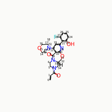 C=CC(=O)N1CCN2C(=O)c3c(N4CCOC[C@@H]4C)cc(-c4c(O)cccc4F)nc3OC[C@H]2C1